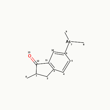 CC1Cc2ccc([As](C)C)cc2C1=O